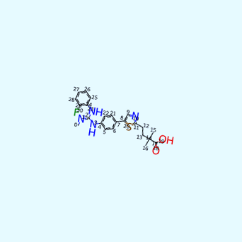 C/N=C(\Nc1ccc(-c2cnc(CCC(C)(C)C(=O)O)s2)cc1)Nc1ccccc1F